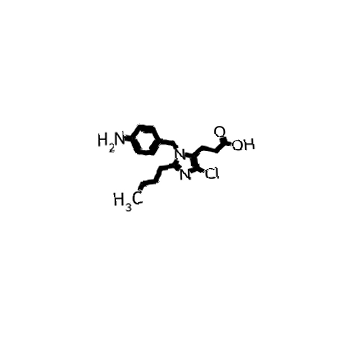 CCCCc1nc(Cl)c(CCC(=O)O)n1Cc1ccc(N)cc1